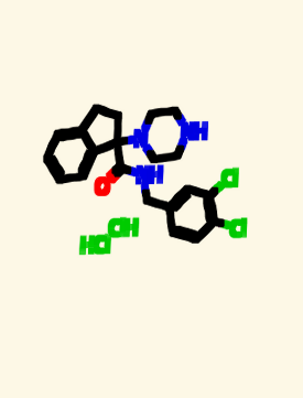 Cl.Cl.O=C(NCc1ccc(Cl)c(Cl)c1)C1(N2CCNCC2)CCc2ccccc21